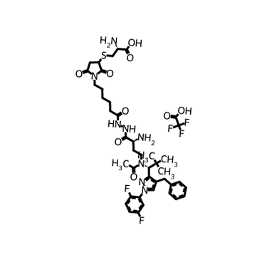 CC(=O)N(CC[C@H](N)C(=O)NNC(=O)CCCCCN1C(=O)CC(SC[C@H](N)C(=O)O)C1=O)[C@@H](c1nn(-c2cc(F)ccc2F)cc1Cc1ccccc1)C(C)(C)C.O=C(O)C(F)(F)F